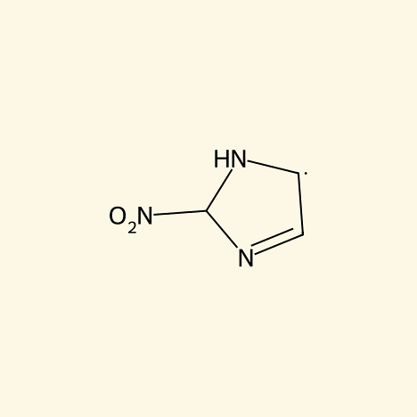 O=[N+]([O-])C1N=C[CH]N1